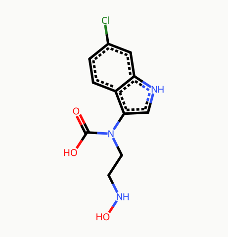 O=C(O)N(CCNO)c1c[nH]c2cc(Cl)ccc12